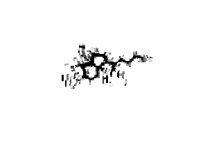 BC12CC[C@@](C)(N)[C@@H](C)[C@]1(N)CC/C2=C(/C)CCCC(C)C